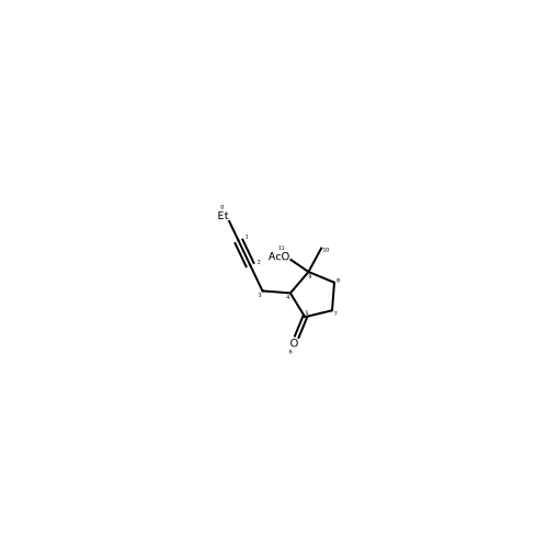 CCC#CCC1C(=O)CCC1(C)OC(C)=O